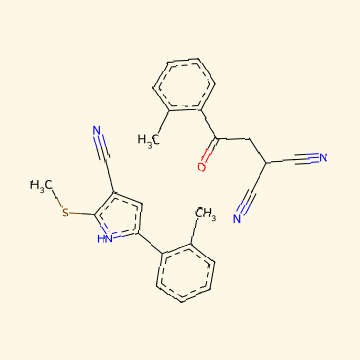 CSc1[nH]c(-c2ccccc2C)cc1C#N.Cc1ccccc1C(=O)CC(C#N)C#N